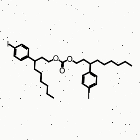 CCCCCCC(CCOC(=O)OCCC(CCCCCC)c1ccc(I)cc1)c1ccc(I)cc1